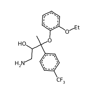 CCOc1ccccc1OC(C)(c1ccc(C(F)(F)F)cc1)C(O)CN